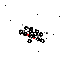 CC(C)(C)C1=CCC(N(c2cc3c(c4ccccc24)-c2c(cc(N(c4ccc(C(C)(C)C)cc4)c4cccc5c4oc4c(C#N)cccc45)c4ccccc24)C32c3ccccc3N(c3ccccc3)c3ccccc32)c2cccc3c2oc2c(C#N)cccc23)C=C1